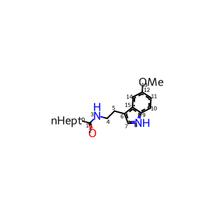 CCCCCCCC(=O)NCCc1c[nH]c2ccc(OC)cc12